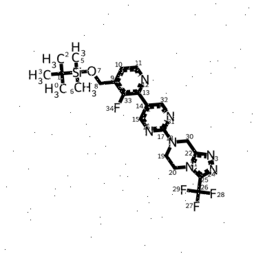 CC(C)(C)[Si](C)(C)OCc1ccnc(-c2cnc(N3CCn4c(nnc4C(F)(F)F)C3)nc2)c1F